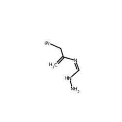 C=C(CC(C)C)/N=C\NN